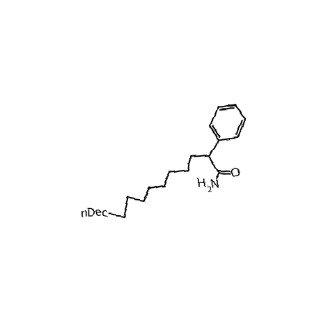 CCCCCCCCCCCCCCCCCCC(C(N)=O)c1ccccc1